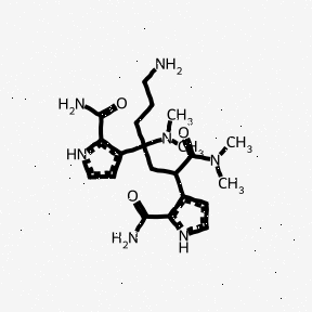 CN(C)C(=O)C(CC(CCCN)(c1cc[nH]c1C(N)=O)N(C)C)c1cc[nH]c1C(N)=O